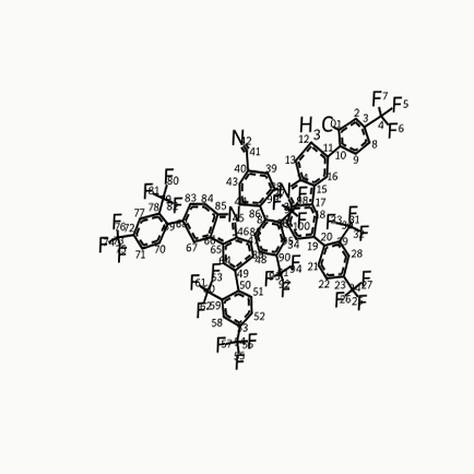 Cc1cc(C(F)(F)F)ccc1-c1ccc2c(c1)c1cc(-c3ccc(C(F)(F)F)cc3C(F)(F)F)ccc1n2-c1cc(C#N)cc(-n2c3ccc(-c4ccc(C(F)(F)F)cc4C(F)(F)F)cc3c3cc(-c4ccc(C(F)(F)F)cc4C(F)(F)F)ccc32)c1-c1ccc(C(F)(F)F)cc1C(F)(F)F